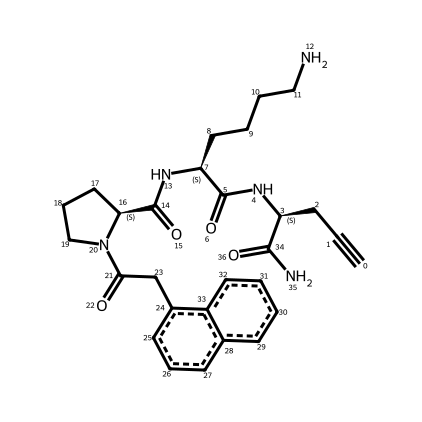 C#CC[C@H](NC(=O)[C@H](CCCCN)NC(=O)[C@@H]1CCCN1C(=O)Cc1cccc2ccccc12)C(N)=O